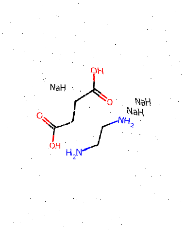 NCCN.O=C(O)CCC(=O)O.[NaH].[NaH].[NaH]